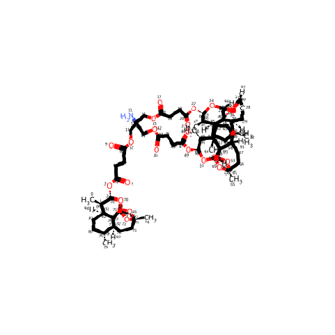 C[C@H]1[C@H](OC(=O)CCC(=O)OCC(N)(COC(=O)CCC(=O)O[C@@H]2O[C@@H]3O[C@H]4CC[C@H]5[C@H](C)CC[C@@H]([C@H]2C)[C@@]35OO4)COC(=O)CCC(=O)O[C@@H]2O[C@@H]3O[C@@]4(C)CC[C@H]5[C@H](C)CC[C@@](C)([C@H]2C)[C@@]35OO4)O[C@@H]2O[C@@]3(C)CC[C@H]4[C@H](C)CC[C@@H]1[C@@]24OO3